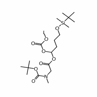 CN(CC(=O)OC(CCCO[Si](C)(C)C(C)(C)C)OC(=O)OI)C(=O)OC(C)(C)C